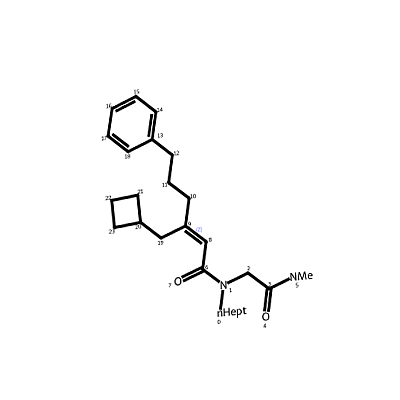 CCCCCCCN(CC(=O)NC)C(=O)/C=C(/CCCc1ccccc1)CC1CCC1